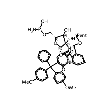 CCCCCOC1=[N+]([C@@]2(O)[C@H](O)[C@@H](COP(N)O)O[C@H]2n2cc(C(c3ccccc3)(c3ccc(OC)cc3)c3ccc(OC)cc3)c(=O)[nH]c2=O)C(=O)c2ccccc21